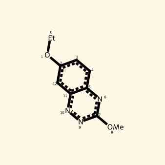 CCOc1ccc2nc(OC)nnc2c1